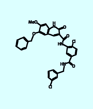 COc1cc2[nH]c(=O)c(C(=O)Nc3cc(C(=O)NCc4cccc(Cl)c4)ccc3Cl)cc2cc1OCc1ccccc1